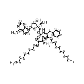 C#C[C@]1(CO[P@](=O)(N[C@@H](Cc2ccccc2)C(=O)OCCCCCCCCC)O[C@@H](C)C(=O)OCCCCCCCCC)O[C@@H](n2cnc3c(N)nc(F)nc32)C[C@@H]1O